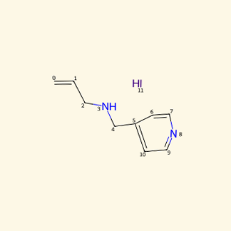 C=CCNCc1ccncc1.I